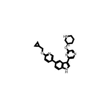 c1cc(OCC2CC2)ncc1-c1ccc2[nH]cc(-c3cncc(O[C@@H]4CCCNC4)n3)c2c1